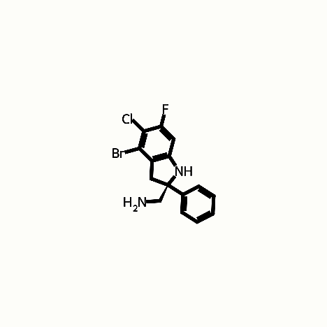 NC[C@@]1(c2ccccc2)Cc2c(cc(F)c(Cl)c2Br)N1